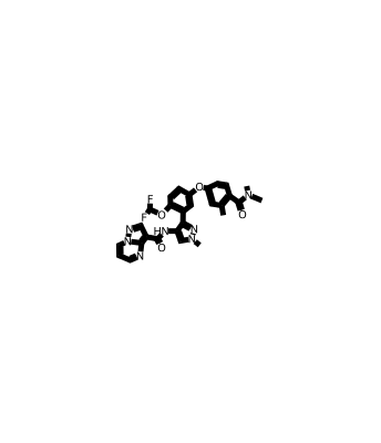 Cc1cc(Oc2ccc(OC(F)F)c(-c3nn(C)cc3NC(=O)c3cnn4cccnc34)c2)ccc1C(=O)N(C)C